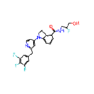 O=C(NCC(F)CO)c1cccc2c1CCN2c1ccnc(Cc2cc(F)c(F)c(F)c2)c1